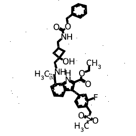 CCOC(=O)c1[nH]c2c([C@H](C)NCC3(O)CC(CNC(=O)OCc4ccccc4)C3)cccc2c1-c1ccc(CS(C)(=O)=O)c(F)c1